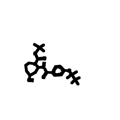 CC(C)(C)OC(=O)N1CCCC(O)CC1NC(=O)c1ccc(O[Si](C)(C)C(C)(C)C)cc1